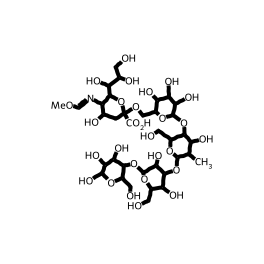 COC=NC1C(O)CC(OCC2OC(OC3C(CO)OC(OC4C(O)C(CO)OC(OC5C(CO)OC(O)C(O)C5O)C4O)C(C)C3O)C(O)C(O)C2O)(C(=O)O)OC1C(O)C(O)CO